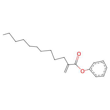 C=C(CCCCCCCCCC)C(=O)Oc1ccccc1